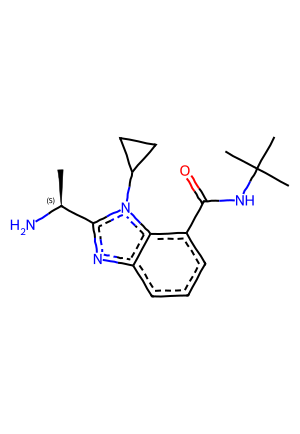 C[C@H](N)c1nc2cccc(C(=O)NC(C)(C)C)c2n1C1CC1